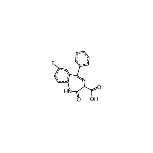 O=C(O)C1N=C(c2ccccc2)c2cc(F)ccc2NC1=O